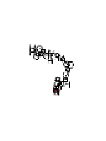 O=C(NC(c1ccccc1)c1cccc(OCc2ccc(C(=O)OCC3CCN(c4ccc(CNC[C@@H](O)c5ccc(O)c6[nH]c(=O)ccc56)cc4)CC3)cc2)c1)O[C@H]1CN2CCC1CC2